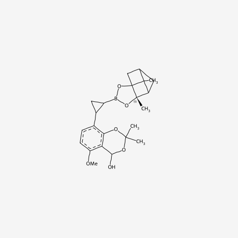 COc1ccc(C2CC2B2OC34CC5CC(C53C)[C@]4(C)O2)c2c1C(O)OC(C)(C)O2